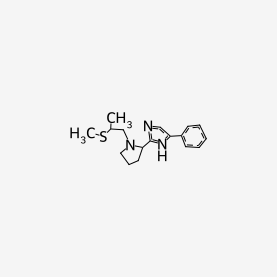 CSC(C)CN1CCCC1c1ncc(-c2ccccc2)[nH]1